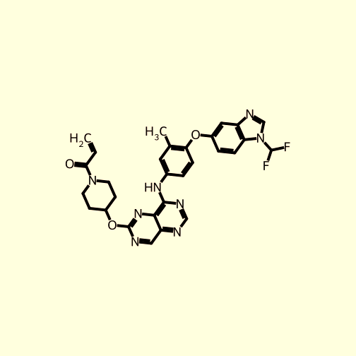 C=CC(=O)N1CCC(Oc2ncc3ncnc(Nc4ccc(Oc5ccc6c(c5)ncn6C(F)F)c(C)c4)c3n2)CC1